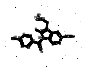 COc1ccc2c(c1)c(CC(=O)[O-])c(C)n2C(=O)c1ccc(Cl)cc1.[K+]